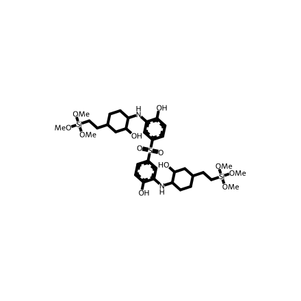 CO[Si](CCC1CCC(Nc2cc(S(=O)(=O)c3ccc(O)c(NC4CCC(CC[Si](OC)(OC)OC)CC4O)c3)ccc2O)C(O)C1)(OC)OC